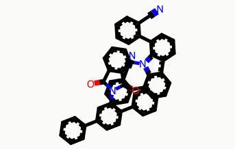 N#Cc1ccccc1-c1cccc2c3cccc(-c4ccccc4C#N)c3n(-c3cccc4c3C(=O)N(c3cc(-c5ccccc5)ccc3-c3ccccc3)C4=O)c12